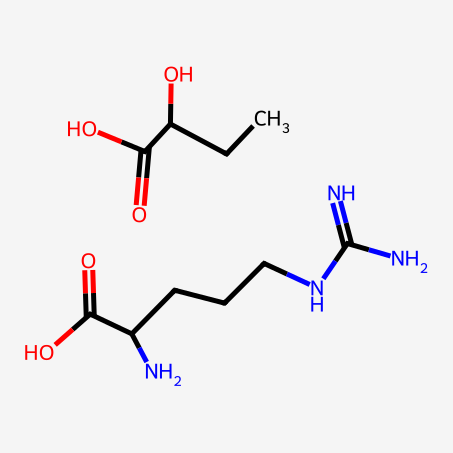 CCC(O)C(=O)O.N=C(N)NCCCC(N)C(=O)O